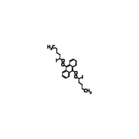 CCCCC(I)OOc1c2ccccc2c(OOC(I)CCCC)c2ccccc12